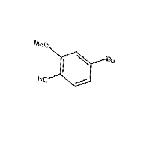 CCC(C)c1ccc(C#N)c(OC)c1